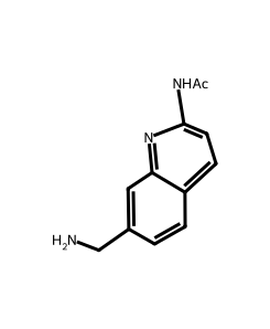 CC(=O)Nc1ccc2ccc(CN)cc2n1